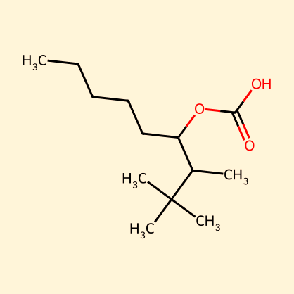 CCCCCC(OC(=O)O)C(C)C(C)(C)C